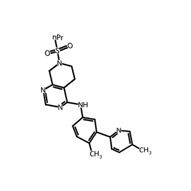 CCCS(=O)(=O)N1CCc2c(ncnc2Nc2ccc(C)c(-c3ccc(C)cn3)c2)C1